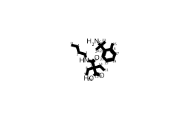 CCCCNC(=O)C(CC)(CC)C(=O)O.Cc1ccccc1C(C)(C)N